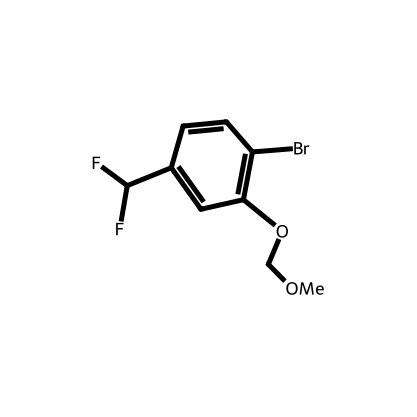 COCOc1cc(C(F)F)ccc1Br